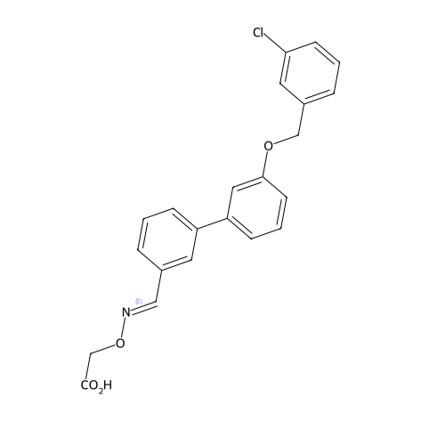 O=C(O)CO/N=C/c1cccc(-c2cccc(OCc3cccc(Cl)c3)c2)c1